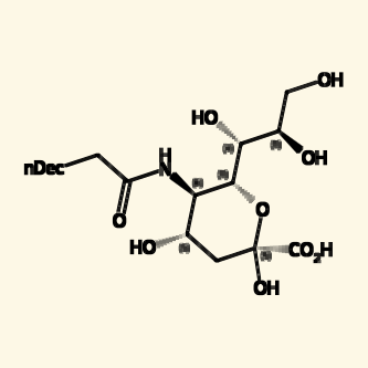 CCCCCCCCCCCC(=O)N[C@H]1[C@H]([C@H](O)[C@H](O)CO)O[C@](O)(C(=O)O)C[C@@H]1O